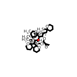 C.CO[Si](OC)(OC)C(CC(C(CCC1([SiH3])CCCCO1)OCC1CO1)C1([SiH3])CCCCO1)C(C1([SiH3])CCCCO1)C1([SiH](C)C)CCCCO1